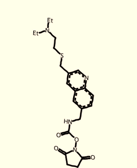 CCN(CC)CCSCc1cnc2ccc(CNC(=O)ON3C(=O)CCC3=O)cc2c1